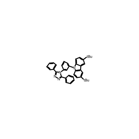 CC(C)(C)c1ccc2c(c1)c1cc(C(C)(C)C)ccc1n2-c1cccc(-n2c(-c3ccccc3)nnc2-c2ccccc2)c1